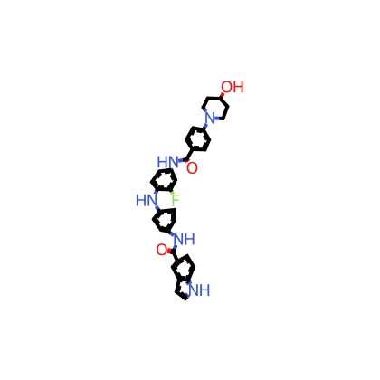 O=C(Nc1ccc(Nc2ccc(NC(=O)c3ccc4[nH]ccc4c3)cc2)c(F)c1)c1ccc(N2CCC(O)CC2)cc1